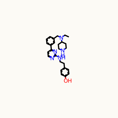 CCN(Cc1cccc(-c2ccnc(NCCc3ccc(O)cc3)n2)c1)C1CCNCC1